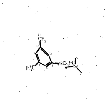 CN(C)C.O=S(=O)(O)c1cc(C(F)(F)F)cc(C(F)(F)F)c1